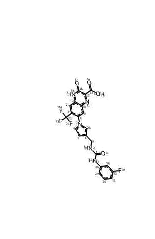 O=C(NCc1ccn(-c2cc3nc(C(=O)O)c(=O)[nH]c3cc2C(F)(F)F)c1)Nc1cccc(F)c1